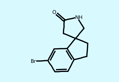 O=C1CC2(CCc3ccc(Br)cc32)CN1